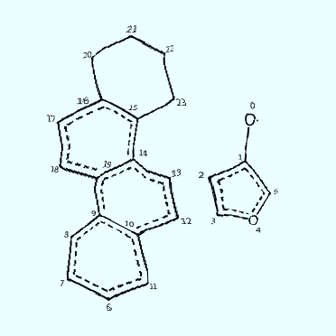 [O]c1ccoc1.c1ccc2c(c1)ccc1c3c(ccc12)CCCC3